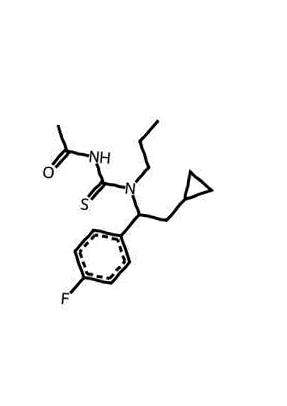 CCCN(C(=S)NC(C)=O)C(CC1CC1)c1ccc(F)cc1